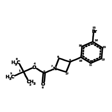 CC(C)(C)OC(=O)N1CC(c2cccc(Br)c2)C1